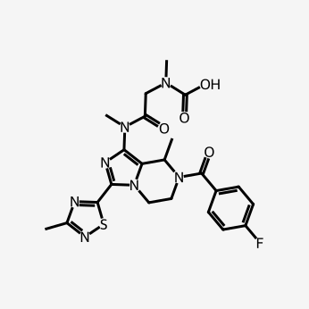 Cc1nsc(-c2nc(N(C)C(=O)CN(C)C(=O)O)c3n2CCN(C(=O)c2ccc(F)cc2)C3C)n1